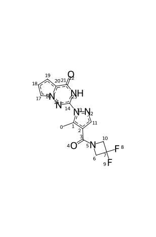 Cc1c(C(=O)N2CC(F)(F)C2)cnn1-c1nn2cccc2c(=O)[nH]1